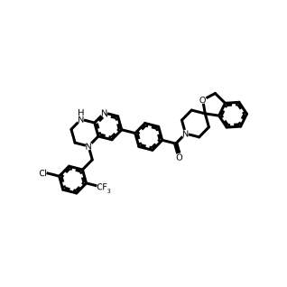 O=C(c1ccc(-c2cnc3c(c2)N(Cc2cc(Cl)ccc2C(F)(F)F)CCN3)cc1)N1CCC2(CC1)OCc1ccccc12